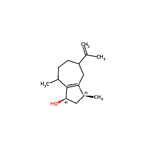 C=C(C)C1CCC(C)C2=C(C1)[C@@H](C)C[C@H]2O